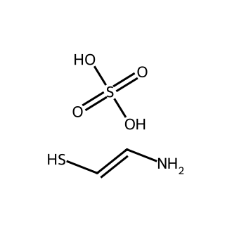 NC=CS.O=S(=O)(O)O